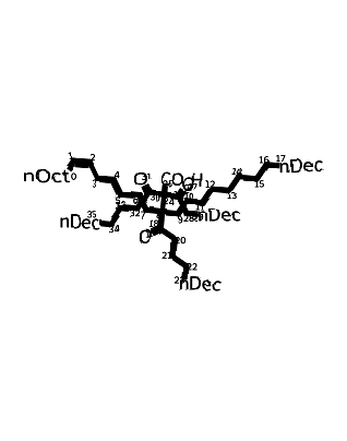 CCCCCCCC/C=C\CCCCCC(CCCCCCCCCCCCCCCCCC)(C(=O)CCCCCCCCCCCCC)C(C(=O)O)(C(=O)CCCCCCCCCCC)C(=O)CCCCCCCCCCCCC